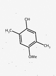 [CH]c1cc(C)c(OC)cc1C